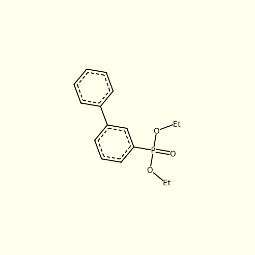 CCOP(=O)(OCC)c1cccc(-c2ccccc2)c1